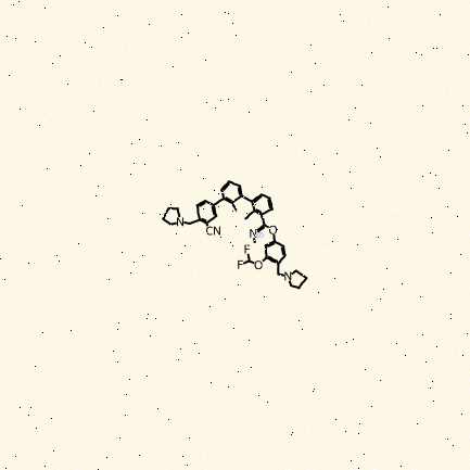 C/N=C(\Oc1ccc(CN2CCCC2)c(OC(F)F)c1)c1cccc(-c2cccc(-c3ccc(CN4CCCC4)c(C#N)c3)c2C)c1C